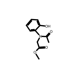 COC(=O)CN(C(C)=O)c1ccccc1O